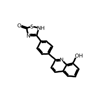 O=c1nc(-c2ccc(-c3ccc4cccc(O)c4n3)cc2)[nH]s1